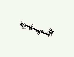 O=C(CCCCCNC(=O)CCCCC(=O)ON1C(=O)CCC1=O)NCCCCCC(=O)ON1C(=O)CCC1=O